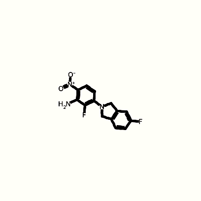 Nc1c([N+](=O)[O-])ccc(N2Cc3ccc(F)cc3C2)c1F